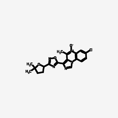 Cc1c2c(-c3nc(C4CCC(C)(C)O4)no3)ncn2c2ccc(Cl)cc2[n+]1[O-]